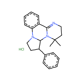 CC1(C)CCN=C2c3ccccc3N3CCC(c4ccccc4)C3N21.Cl